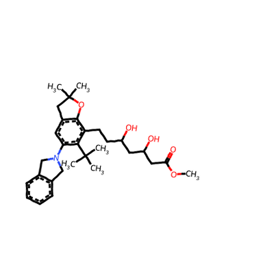 COC(=O)CC(O)CC(O)CCc1c2c(cc(N3Cc4ccccc4C3)c1C(C)(C)C)CC(C)(C)O2